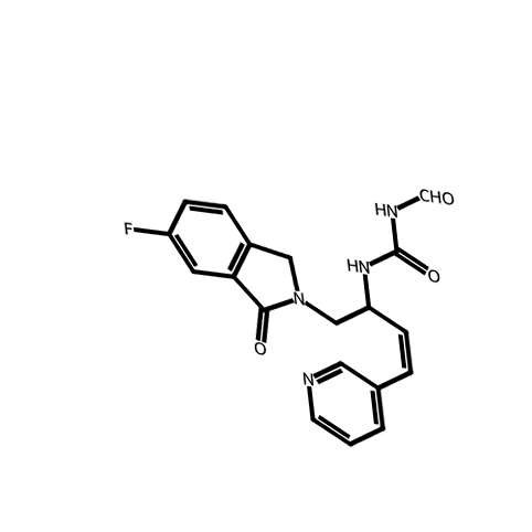 O=CNC(=O)NC(/C=C\c1cccnc1)CN1Cc2ccc(F)cc2C1=O